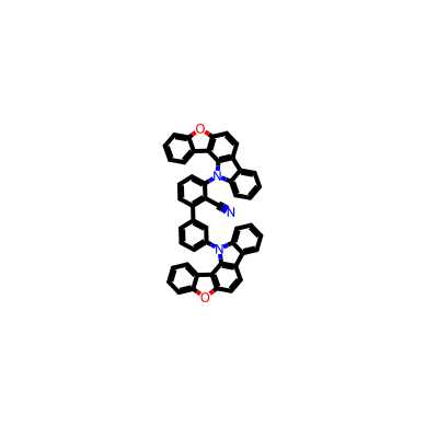 N#Cc1c(-c2cccc(-n3c4ccccc4c4ccc5oc6ccccc6c5c43)c2)cccc1-n1c2ccccc2c2ccc3oc4ccccc4c3c21